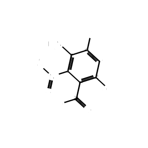 Nc1c(Cl)cc(Cl)c(C(=O)O)c1[N+](=O)[O-]